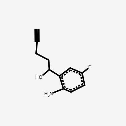 C#CCCC(O)c1cc(F)ccc1N